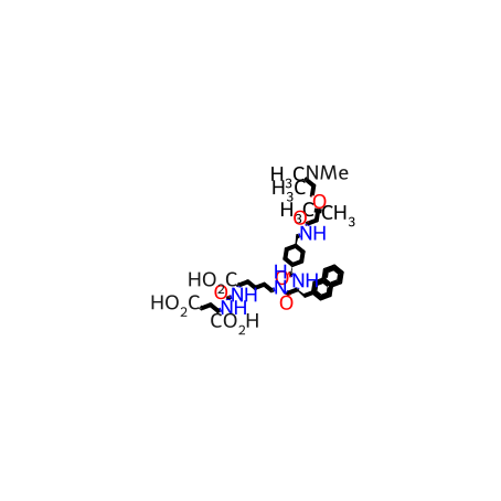 CNC(C)(C)CCOC(C)(C)CC(=O)NC[C@H]1CC[C@H](C(=O)N[C@@H](Cc2ccc3ccccc3c2)C(=O)NCCCCC(NC(=O)N[C@@H](CCC(=O)O)C(=O)O)C(=O)O)CC1